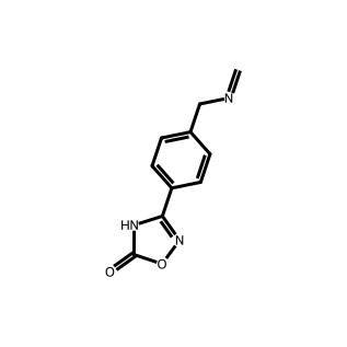 C=NCc1ccc(-c2noc(=O)[nH]2)cc1